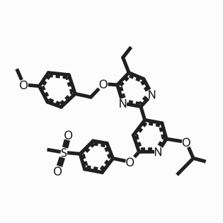 CCc1cnc(-c2cc(Oc3ccc(S(C)(=O)=O)cc3)nc(OC(C)C)c2)nc1OCc1ccc(OC)cc1